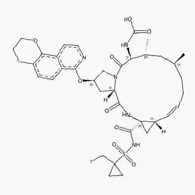 C[C@H]1CCC=C[C@@H]2C[C@@]2(C(=O)NS(=O)(=O)C2(CF)CC2)NC(=O)[C@@H]2C[C@@H](Oc3nccc4c5c(ccc34)CCCO5)CN2C(=O)[C@@H](NC(=O)O)[C@H](C)C1